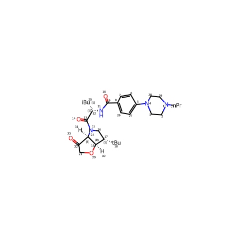 CCCN1CCN(c2ccc(C(=O)N[C@H](C(=O)N3C[C@H](C(C)(C)C)[C@H]4OCC(=O)[C@H]43)[C@@H](C)CC)cc2)CC1